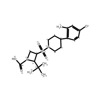 Cc1cc(Cl)ccc1C1CCN(S(=O)(=O)C2CN(C(=O)O)C2C(C)(C)C)CC1